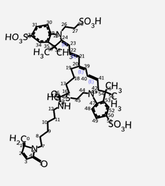 C=C1C=CC(=O)N1CCCCCCNC(=O)CCCCC(/C=C/C=C1/N(CCS(=O)(=O)O)c2ccc(S(=O)(=O)O)cc2C1(C)C)=C\C=C\C1=[N+](CCS(=O)(=O)O)c2ccc(S(=O)(=O)O)cc2C1(C)C